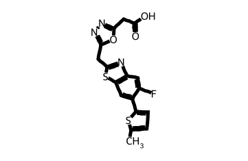 Cc1ccc(-c2cc3sc(Cc4nnc(CC(=O)O)o4)nc3cc2F)s1